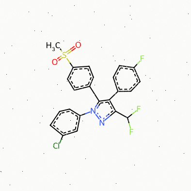 CS(=O)(=O)c1ccc(-c2c(-c3ccc(F)cc3)c(C(F)F)nn2-c2cccc(Cl)c2)cc1